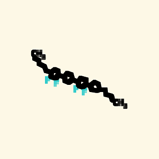 C/C=C/CCC1CC=C(c2ccc(-c3ccc(-c4ccc(CCCCCC)c(F)c4F)cc3)c(F)c2F)CC1